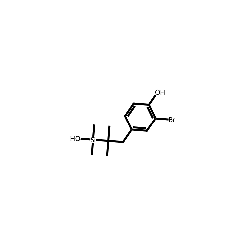 CC(C)(Cc1ccc(O)c(Br)c1)[Si](C)(C)O